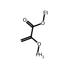 C=C(OP)C(=O)OCC